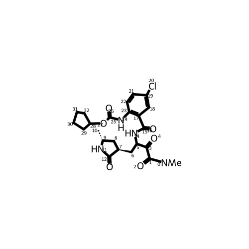 CNC(=O)C(=O)C(C[C@@H]1C[C@@H](C)NC1=O)NC(=O)c1cc(Cl)ccc1NC(=O)OC1CCCC1